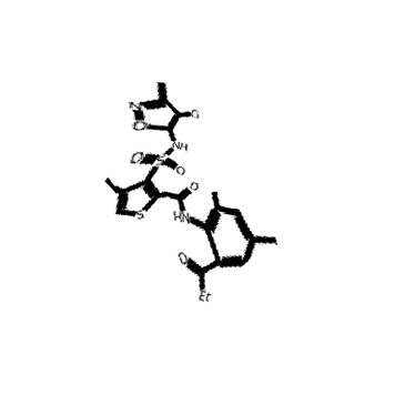 CCC(=O)c1cc(C)cc(C)c1NC(=O)c1scc(C)c1S(=O)(=O)Nc1onc(C)c1Cl